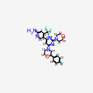 Nc1cc(C(F)(F)F)c(-c2cc(N3CCOC(c4ccc(F)cc4)C3)nc(N3CCOCC3)n2)cn1